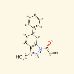 C=CC(=O)n1nc(C(=O)O)c2c1CC(c1ccccc1)C=C2